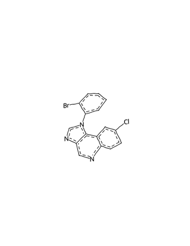 Clc1ccc2ncc3ncn(-c4ccccc4Br)c3c2c1